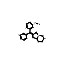 CBr.c1ccc(C(=C2CC3CCCCN3C2)c2ccccc2)cc1